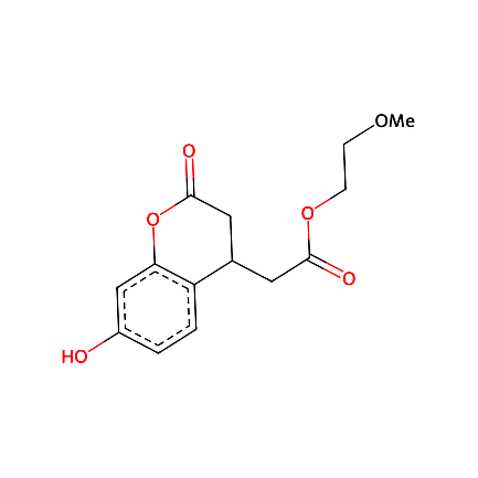 COCCOC(=O)CC1CC(=O)Oc2cc(O)ccc21